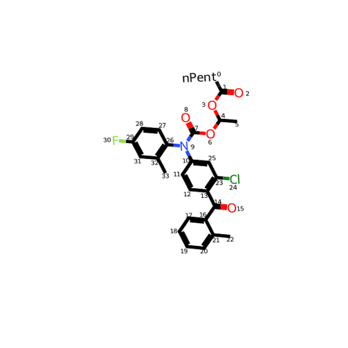 CCCCCC(=O)OC(C)OC(=O)N(c1ccc(C(=O)c2ccccc2C)c(Cl)c1)c1ccc(F)cc1C